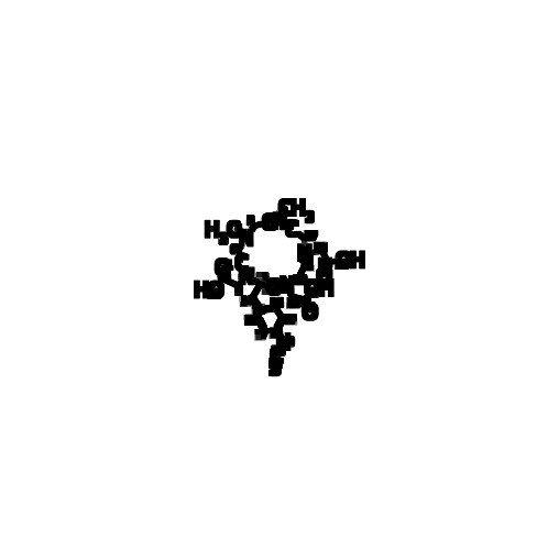 CN1CCN(C)CCN(CC(=O)O)C(Cc2ccc(N=C=S)cc2)CN(CC(=O)O)CCN(CC(=O)O)CC1